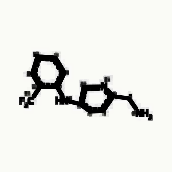 NCc1ccc(Nc2ccccc2C(F)(F)F)cn1